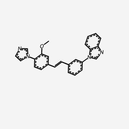 COc1cc(/C=C/c2cccc(-n3cnc4ccccc43)c2)ccc1-n1ccnc1